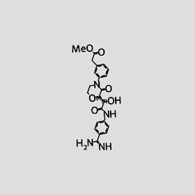 COC(=O)Cc1cccc(N2CCO[C@H]([C@@H](O)C(=O)Nc3ccc(C(=N)N)cc3)C2=O)c1